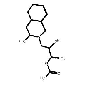 CC(=O)NC(C)C(O)CN1CC2CCCCC2CC1C